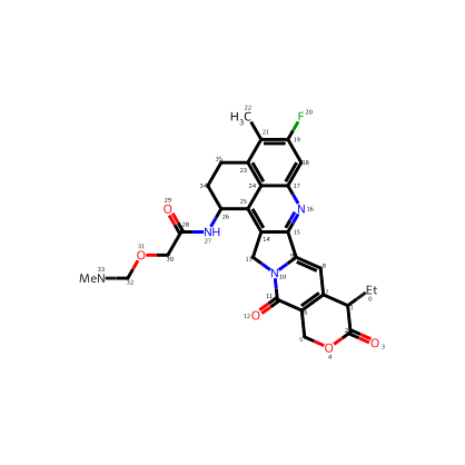 CCC1C(=O)OCc2c1cc1n(c2=O)Cc2c-1nc1cc(F)c(C)c3c1c2C(NC(=O)COCNC)CC3